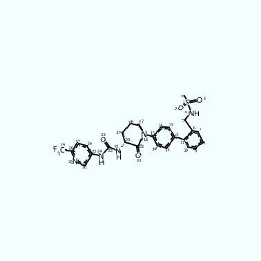 CS(=O)(=O)NCc1ccccc1-c1ccc(N2CCC[C@@H](NC(=O)Nc3ccc(C(F)(F)F)nc3)C2=O)cc1